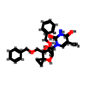 Cc1cn([C@@H]2O[C@]3(COCc4ccccc4)C(OCc4ccccc4)C2OC32CC2)c(=O)[nH]c1=O